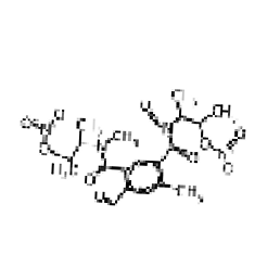 Cc1cc(C=O)c(C(=O)N(C)C(C)C(C)O[N+](=O)[O-])cc1C(=O)N(C=O)C(C)C(C)O[N+](=O)[O-]